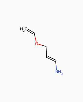 C=COCC=CN